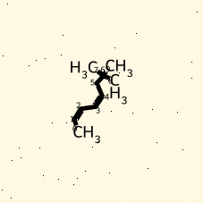 C/C=C\C=C/CC(C)(C)C